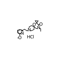 CCN1CC2(CCN(CCc3cccc(OC)n3)CC2)OC2(CC2)C1=O.Cl